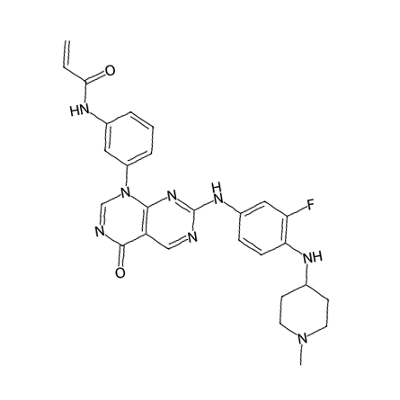 C=CC(=O)Nc1cccc(-n2cnc(=O)c3cnc(Nc4ccc(NC5CCN(C)CC5)c(F)c4)nc32)c1